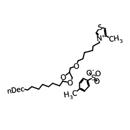 CCCCCCCCCCCCCCCCCC1OCC(COCCCCCC[n+]2cscc2C)O1.Cc1ccc(S(=O)(=O)[O-])cc1